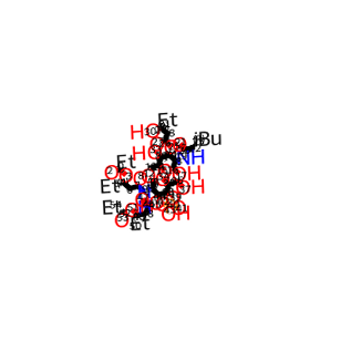 CCC(=O)O[C@H](CC)CC(=O)NC1[C@H](OCC2OC(O)C(NC(=O)C[C@H](C)CC)[C@@H](OC(=O)C[C@H](O)CC)[C@@H]2O)OC(CO)[C@@H](OP(=O)(O)O)[C@@H]1OC(=O)C[C@@H](CC)OC(=O)CC